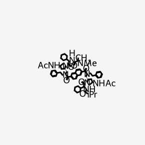 CN[C@@H](C)C(=O)N[C@H](C(=O)N1C[C@@H](NC(C)=O)C[C@H]1CN(CCc1ccccc1)C(=O)c1ccc2cc(C(=O)N(CCc3ccccc3)C[C@@H]3C[C@H](NC(C)=O)CN3C(=O)[C@@H](NC(=O)C(C)C)C3CCCCC3)ccc2c1)C1CCCCC1